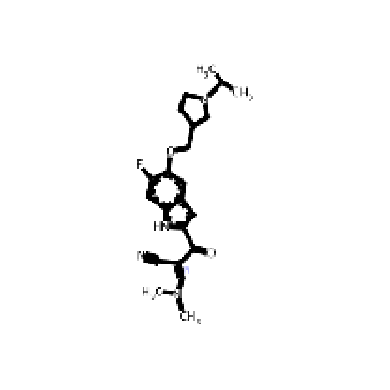 CC(C)N1CCC(COc2cc3cc(C(=O)/C(C#N)=C/N(C)C)[nH]c3cc2F)C1